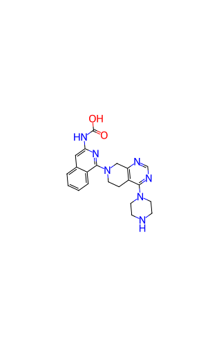 O=C(O)Nc1cc2ccccc2c(N2CCc3c(ncnc3N3CCNCC3)C2)n1